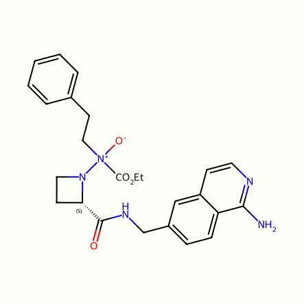 CCOC(=O)[N+]([O-])(CCc1ccccc1)N1CC[C@H]1C(=O)NCc1ccc2c(N)nccc2c1